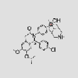 COc1cc2c(cc1OC(C)C)[C@H](c1ccc(Cl)cc1)N(c1ccc(C(C)(O)C3C4CNCC3COC4)cc1)C(=O)C2